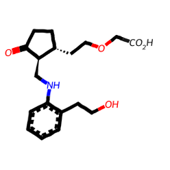 O=C(O)COCC[C@H]1CCC(=O)[C@@H]1CNc1ccccc1CCO